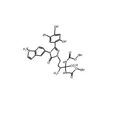 CC(C)c1cc(-c2nn(CCC(C)C(NC(=O)OC(C)(C)C)(NC(=O)OC(C)(C)C)C(=O)O)c(=O)n2-c2ccc3c(ccn3C)c2)c(O)cc1O